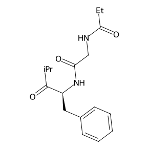 CCC(=O)NCC(=O)N[C@@H](Cc1ccccc1)C(=O)C(C)C